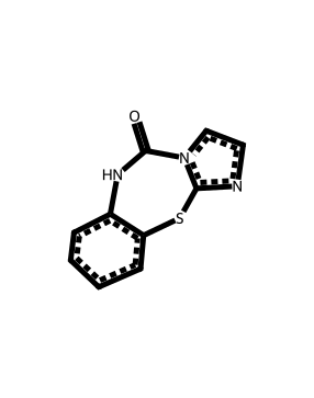 O=C1Nc2ccccc2Sc2nccn21